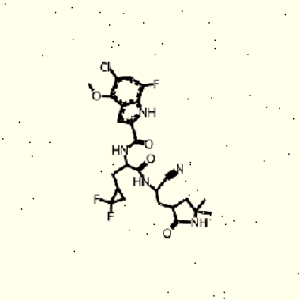 COc1c(Cl)cc(F)c2[nH]c(C(=O)NC(CC3CC3(F)F)C(=O)NC(C#N)CC3CC(C)(C)NC3=O)cc12